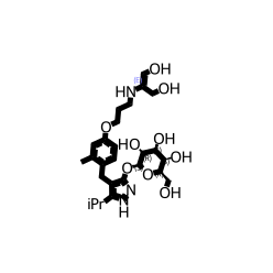 Cc1cc(OCCCN/C(=C/O)CO)ccc1Cc1c(O[C@@H]2O[C@H](CO)[C@@H](O)[C@H](O)[C@H]2O)n[nH]c1C(C)C